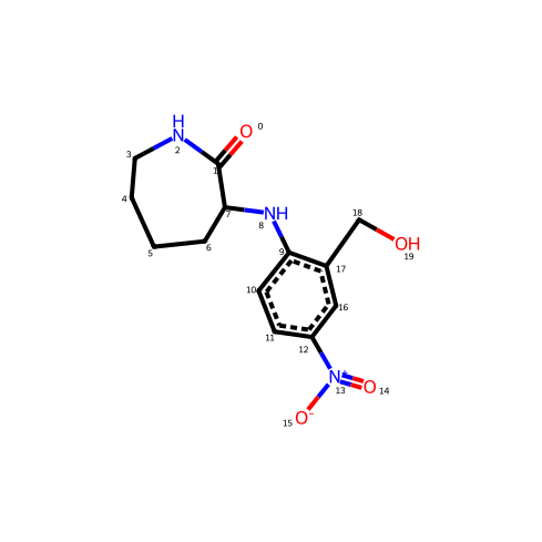 O=C1NCCCCC1Nc1ccc([N+](=O)[O-])cc1CO